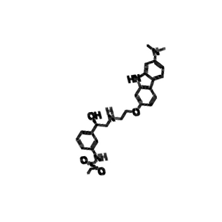 CN(C)c1ccc2c(c1)[nH]c1cc(OCCNC[C@H](O)c3cccc(NS(C)(=O)=O)c3)ccc12